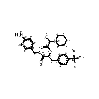 CC(C(=O)N[C@@H](Cc1ccc(C(F)(F)F)cc1)C(=O)NCc1ccc(N)nc1)N1CCCCC1